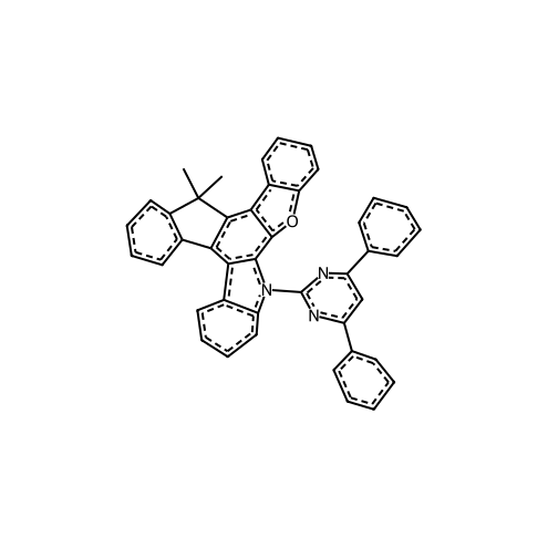 CC1(C)c2ccccc2-c2c1c1c3ccccc3oc1c1c2c2ccccc2n1-c1nc(-c2ccccc2)cc(-c2ccccc2)n1